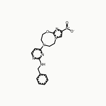 O=[N+]([O-])c1cn2c(n1)OCCN(c1ccnc(NCc3ccccc3)n1)CC2